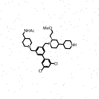 COCC[C@H]1CC(C2CCNCC2)CCN1Cc1cc(CN2CCC(CNC(C)=O)CC2)cc(-c2cc(Cl)cc(Cl)c2)c1